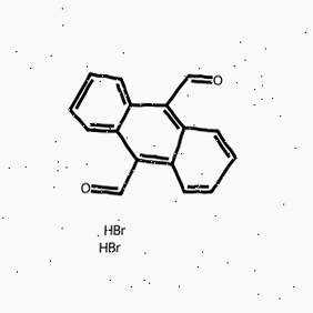 Br.Br.O=Cc1c2ccccc2c(C=O)c2ccccc12